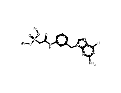 CC(C)OP(=O)(CC(=O)Nc1cccc(Cn2cnc3c(Cl)nc(N)nc32)c1)OC(C)C